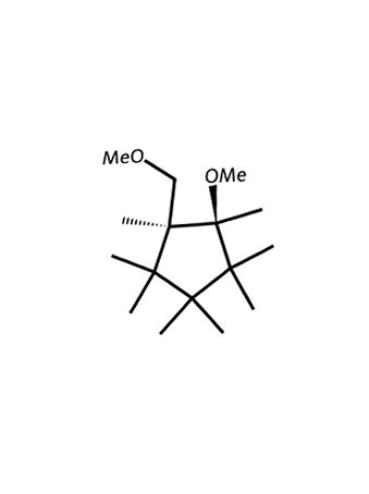 COC[C@]1(C)C(C)(C)C(C)(C)C(C)(C)[C@]1(C)OC